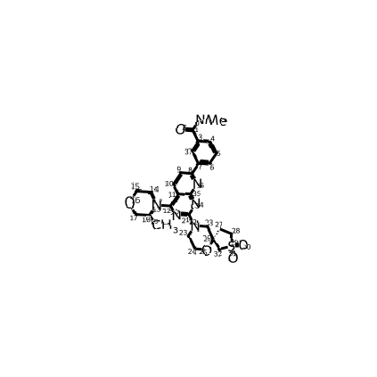 CNC(=O)c1cccc(-c2ccc3c(N4CCOC[C@@H]4C)nc(N4CCO[C@@]5(CCS(=O)(=O)C5)C4)nc3n2)c1